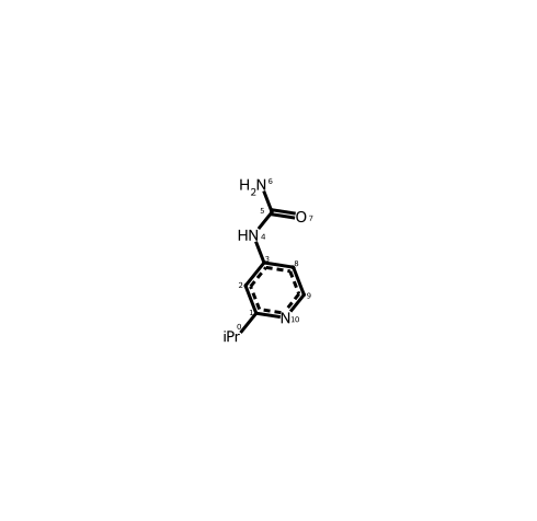 CC(C)c1cc(NC(N)=O)ccn1